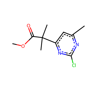 COC(=O)C(C)(C)c1cc(C)nc(Cl)n1